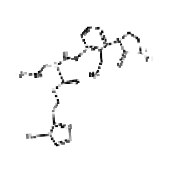 CCc1c(SN[C@@H](CNC)C(=O)OCCc2nccn2C)cccc1N1CC[C@H](O)C1=O